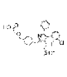 C[S+]([O-])CCc1c(-c2cccc(Cl)c2F)c(-c2ccccc2)nn1CC1CCC(COCC(=O)O)CC1